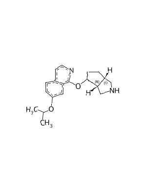 CC(C)Oc1ccc2ccnc(OC3CC[C@@H]4CNC[C@H]34)c2c1